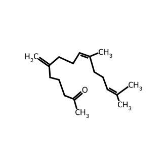 C=C(CCC=C(C)CCC=C(C)C)CCCC(C)=O